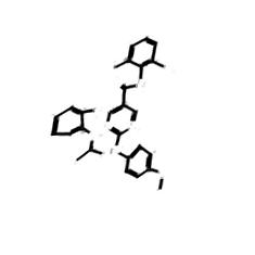 COc1ccc(Nc2ncc(C(=O)Nc3c(F)cccc3Cl)c(Nc3ccccc3SC(C)C)n2)cc1